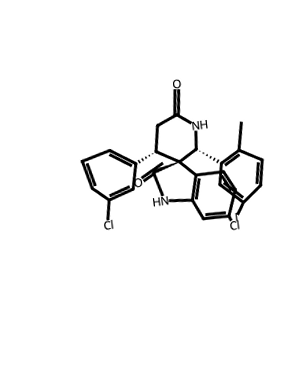 Cc1ccc(I)cc1[C@H]1NC(=O)C[C@@H](c2cccc(Cl)c2)[C@]12C(=O)Nc1cc(Cl)ccc12